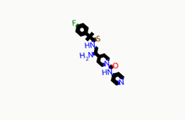 CC(C)(C(=S)NCC(N)C1CCN(C(=O)Nc2ccncc2)CC1)c1ccc(F)cc1